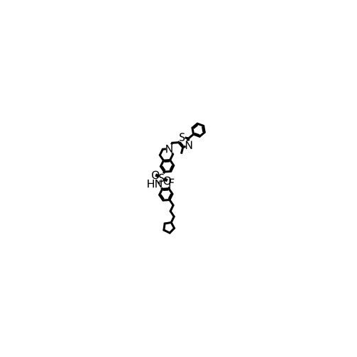 Cc1nc(-c2ccccc2)sc1CN1CCc2cc(S(=O)(=O)Nc3ccc(CCCC4CCCC4)cc3F)ccc2C1